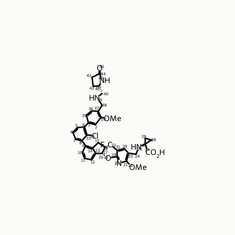 COc1cc(-c2cccc(-c3cccc4c3CC[C@@H]4Oc3nc(OC)c(CNC4(C(=O)O)CC4)cc3C(F)(F)F)c2Cl)ccc1CNC[C@@H]1CCC(=O)N1